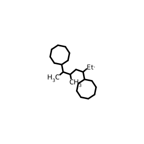 C[CH]C(CC(C)C(C)C1CCCCCCC1)C1CCCCCCC1